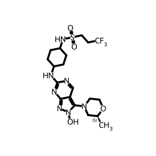 C[C@H]1CN(c2c3cnc(NC4CCC(NS(=O)(=O)CCC(F)(F)F)CC4)nc3nn2O)CCO1